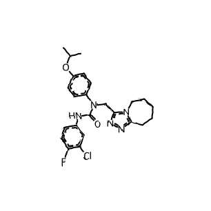 CC(C)Oc1ccc(N(Cc2nnc3n2CCCCC3)C(=O)Nc2ccc(F)c(Cl)c2)cc1